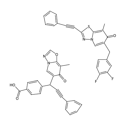 Cc1c(=O)c(C(C#Cc2ccccc2)c2ccc(C(=O)O)cc2)cn2ncoc12.Cc1c(=O)c(Cc2ccc(F)c(F)c2)cn2nc(C#Cc3ccccc3)sc12